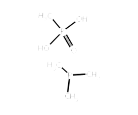 CP(=O)(O)O.CP(C)C